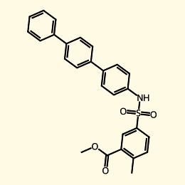 COC(=O)c1cc(S(=O)(=O)Nc2ccc(-c3ccc(-c4ccccc4)cc3)cc2)ccc1C